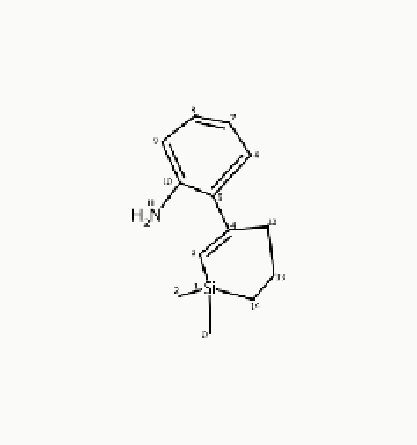 C[Si]1(C)C=C(c2ccccc2N)CCC1